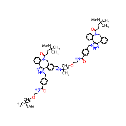 CNC(C)(C)CCOCCNC(=O)c1ccc(Cn2nnc3c2-c2ccc(CNC(C)(C)CCOCCNC(=O)c4ccc(Cn5nnc6c5-c5ccccc5N(C(=O)CCC(C)(C)NC)Cc5ccccc5-6)cc4)cc2CN(C(=O)CCC(C)(C)NC)c2ccccc2-3)cc1